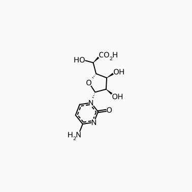 Nc1ccn([C@@H]2O[C@H]([C@@H](O)C(=O)O)[C@@H](O)[C@H]2O)c(=O)n1